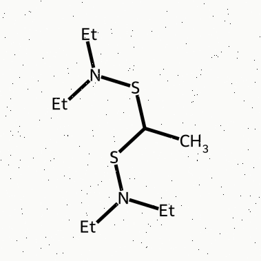 CCN(CC)SC(C)SN(CC)CC